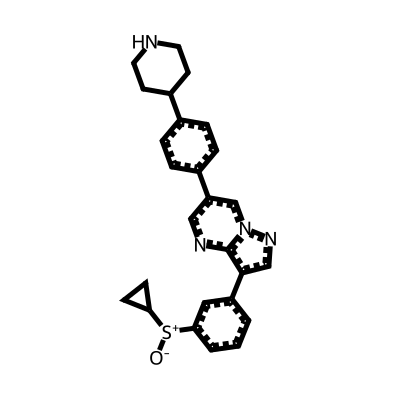 [O-][S+](c1cccc(-c2cnn3cc(-c4ccc(C5CCNCC5)cc4)cnc23)c1)C1CC1